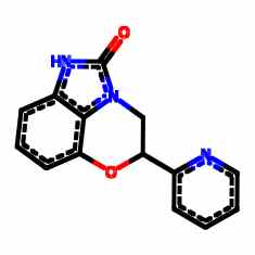 O=c1[nH]c2cccc3c2n1CC(c1ccccn1)O3